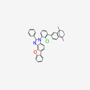 CC12CCC(C)(CC1)c1cc(-c3cccc(-n4c(-c5ccccc5)nc5c6oc7ccccc7c6ccc54)c3Cl)ccc12